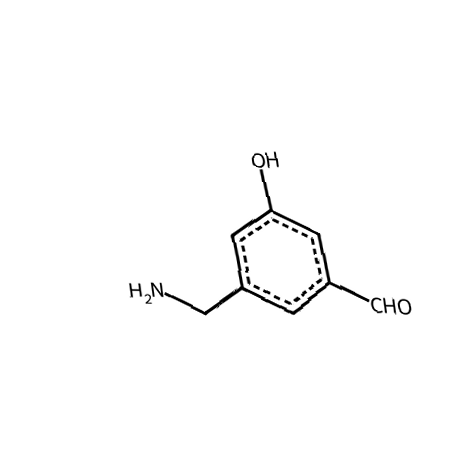 NCc1cc(O)cc(C=O)c1